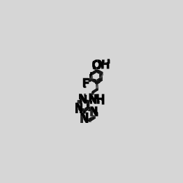 Oc1ccc(CCNc2ncnc3nccnc23)c(F)c1